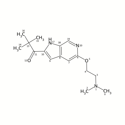 CN(C)CCOc1cc2cc(C(=O)C(C)(C)C)[nH]c2cn1